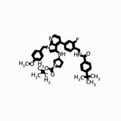 COc1ccc(Cn2cc(N[C@H]3CCN(C(=O)OC(C)(C)C)C3)c3c(-c4ccc(CNC(=O)c5ccc(C(C)(C)C)cc5)c(F)c4)ccnc32)cc1